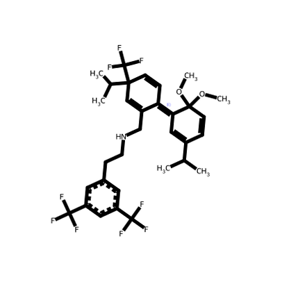 COC1(OC)C=CC(C(C)C)=C/C1=C1/C=CC(C(C)C)(C(F)(F)F)C=C1CNCCc1cc(C(F)(F)F)cc(C(F)(F)F)c1